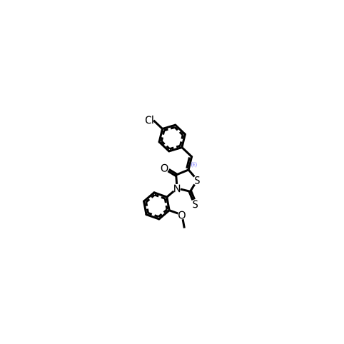 COc1ccccc1N1C(=O)/C(=C\c2ccc(Cl)cc2)SC1=S